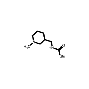 CN1CCCC(CNC(=O)C(C)(C)C)C1